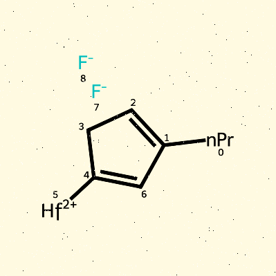 CCCC1=CC[C]([Hf+2])=C1.[F-].[F-]